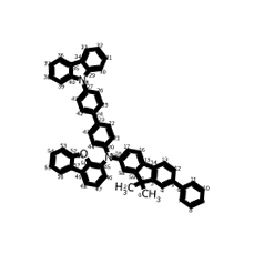 CC1(C)c2cc(-c3ccccc3)ccc2-c2ccc(N(c3ccc(-c4ccc(-n5c6ccccc6c6ccccc65)cc4)cc3)c3cccc4c3oc3ccccc34)cc21